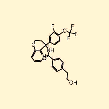 O=C(N[C@]1(c2ccc(OC(F)(F)F)c(F)c2)CCOc2cccnc21)c1ccc(CCO)cc1